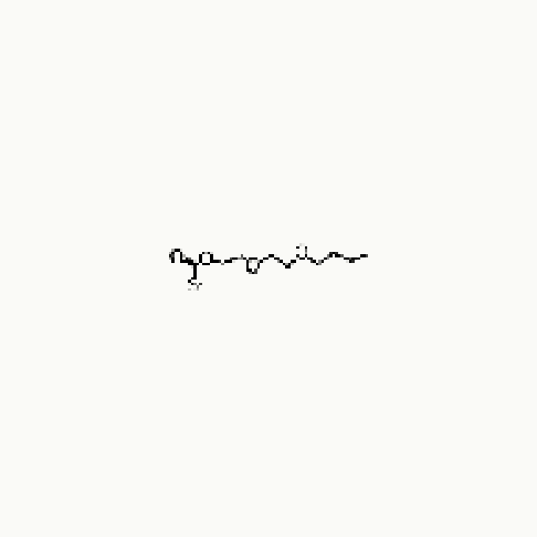 CCCCOCCOCCOC(=O)[S]